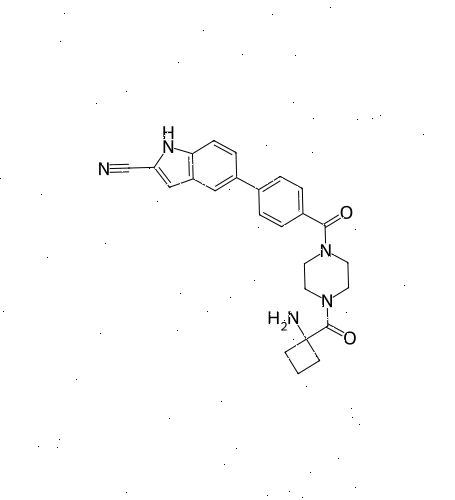 N#Cc1cc2cc(-c3ccc(C(=O)N4CCN(C(=O)C5(N)CCC5)CC4)cc3)ccc2[nH]1